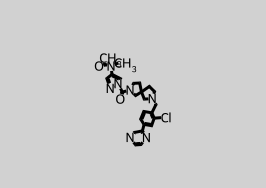 CC(=O)N(C)c1cnn(C(=O)N2CCC3(CCN(Cc4ccc(-c5cnccn5)cc4Cl)C3)C2)c1